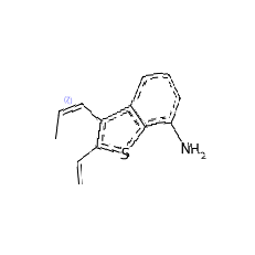 C=Cc1sc2c(N)cccc2c1/C=C\C